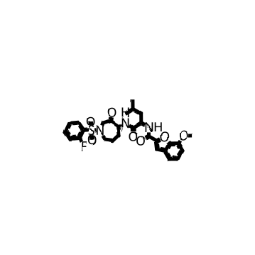 COc1cccc2cc(C(=O)NC(CC(C)C)C(=O)N[C@H]3CCCN(S(=O)(=O)c4ccccc4F)CC3=O)oc12